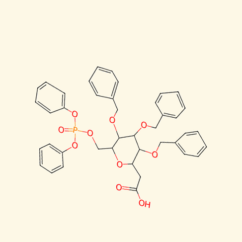 O=C(O)CC1OC(COP(=O)(Oc2ccccc2)Oc2ccccc2)C(OCc2ccccc2)C(OCc2ccccc2)C1OCc1ccccc1